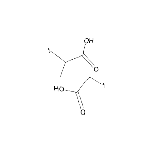 CC(I)C(=O)O.O=C(O)CI